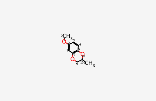 COc1ccc2c(c1)OCC(C)O2